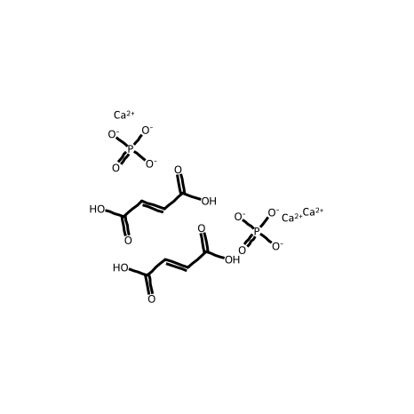 O=C(O)/C=C/C(=O)O.O=C(O)/C=C/C(=O)O.O=P([O-])([O-])[O-].O=P([O-])([O-])[O-].[Ca+2].[Ca+2].[Ca+2]